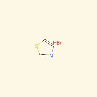 Br.c1cscn1